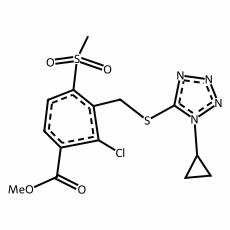 COC(=O)c1ccc(S(C)(=O)=O)c(CSc2nnnn2C2CC2)c1Cl